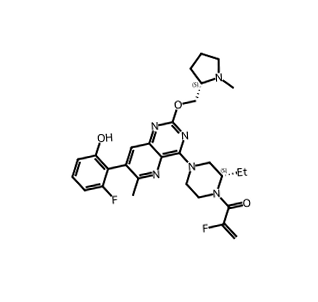 C=C(F)C(=O)N1CCN(c2nc(OC[C@@H]3CCCN3C)nc3cc(-c4c(O)cccc4F)c(C)nc23)C[C@@H]1CC